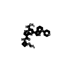 CNc1cc(-c2cnc3n(C4CCOCC4)cccc2-3)nc2c(C(=O)N[C@@H]3CC[C@H]3OC)cnn12